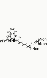 CCCCCCCCCN(CCCCCCCCC)CCCN(CCCCCCCCC)CCCCCC(=O)Nc1nc2ccccc2c2sc(CCC)nc12